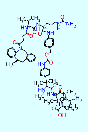 C=C1Cc2ccccc2CN(C(=O)CCC(=O)N[C@H](C(=O)N[C@@H](CCCNC(N)=O)C(=O)Nc2ccc(COC(=O)Nc3ccc(C(C)(C)C(NC)C(=O)N[C@H](C(=O)N(C)[C@H](/C=C(\C)C(=O)O)C(C)C)C(C)(C)C)cc3)cc2)C(C)C)c2ccccc21